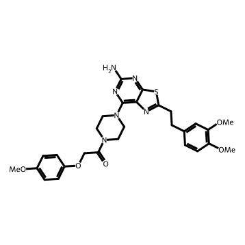 COc1ccc(OCC(=O)N2CCN(c3nc(N)nc4sc(CCc5ccc(OC)c(OC)c5)nc34)CC2)cc1